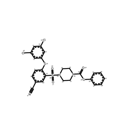 N#Cc1ccc(Oc2cc(Cl)cc(Cl)c2)c(S(=O)(=O)N2CCN(C(=O)Oc3ccccc3)CC2)c1